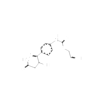 C=CCSC(=O)Nc1ccc(C2=NNC(=O)CC2C)cc1